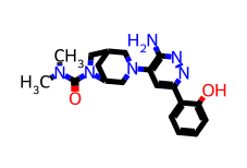 CN(C)C(=O)N1CC2CC1CN(c1cc(-c3ccccc3O)nnc1N)C2